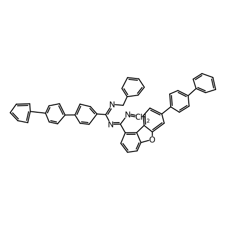 C=N/C(=N\C(=N/Cc1ccccc1)c1ccc(-c2ccc(-c3ccccc3)cc2)cc1)c1cccc2oc3cc(-c4ccc(-c5ccccc5)cc4)ccc3c12